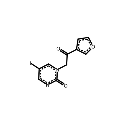 O=C(Cn1cc(I)cnc1=O)c1ccoc1